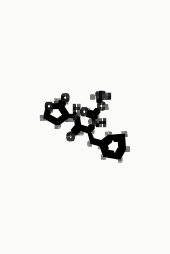 CC(C)(C)OC(=O)N[C@@H](Cc1ccccc1)C(=O)N[C@H]1CCOC1=O